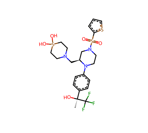 C[C@](O)(c1ccc(N2CCN(S(=O)(=O)c3cccs3)C[C@@H]2CN2CCS(O)(O)CC2)cc1)C(F)(F)F